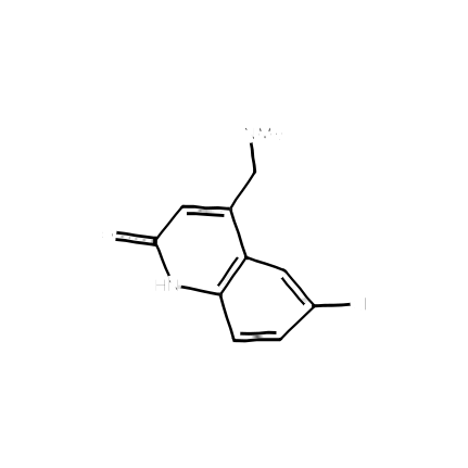 CNCc1cc(=O)[nH]c2ccc(Cl)cc12